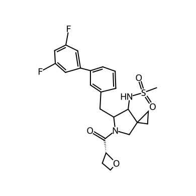 CS(=O)(=O)NC1C(Cc2cccc(-c3cc(F)cc(F)c3)c2)N(C(=O)[C@H]2CCO2)CC12CC2